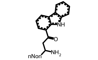 CCCCCCCCCC(N)CC(=O)c1cccc2c1[nH]c1ccccc12